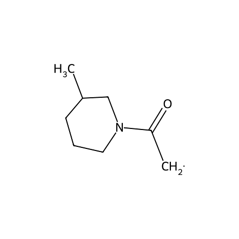 [CH2]C(=O)N1CCCC(C)C1